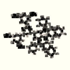 CC(C)(C)c1cc(-c2cc(-c3cc4c5c(c3)N(c3ccccc3)c3cc6ccccc6cc3B5c3cc5ccccc5cc3N4c3ccccc3)nc(-c3cc(C(C)(C)C)cc(C(C)(C)C)c3)n2)cc(C(C)(C)C)c1